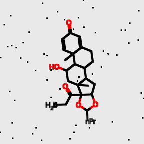 BCC(=O)C12OC(CCC)OC1CC1C3CCC4=CC(=O)C=CC4(C)C3C(O)CC12C